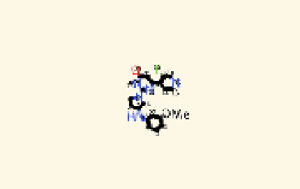 COc1cccc(NC2CCN(c3nc(-c4ccncc4F)cc(=O)n3C)C2)c1